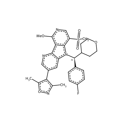 COc1ncc(S(C)(=O)=O)c2c1c1ncc(-c3c(C)noc3C)cc1n2[C@H](c1ccc(F)cc1)C1CCOCC1